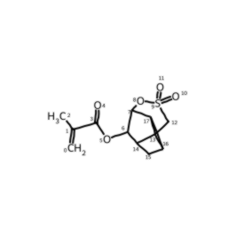 C=C(C)C(=O)OC1C2OS(=O)(=O)CC34C1CC3C24